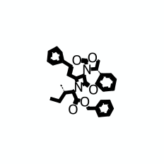 CC[C@H](C)C(C(=O)OCc1ccccc1)N1C(=O)C(N2C(=O)OC[C@@H]2c2ccccc2)C1C=Cc1ccccc1